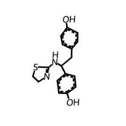 Oc1ccc(CC(NC2=NCCS2)c2ccc(O)cc2)cc1